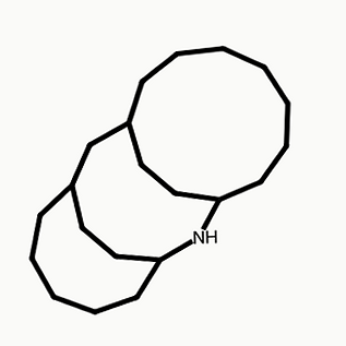 C1CCCC2CCC(CCC1)NC1CCCCCC(CC1)C2